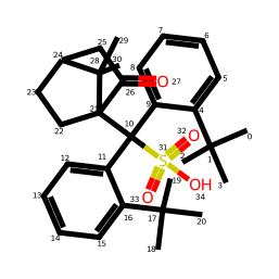 CC(C)(C)c1ccccc1C(c1ccccc1C(C)(C)C)(C12CCC(CC1=O)C2(C)C)S(=O)(=O)O